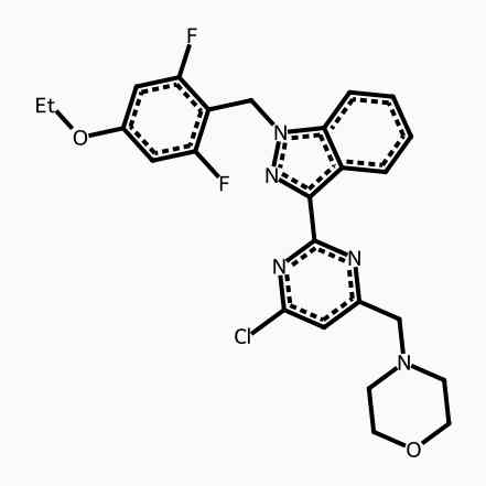 CCOc1cc(F)c(Cn2nc(-c3nc(Cl)cc(CN4CCOCC4)n3)c3ccccc32)c(F)c1